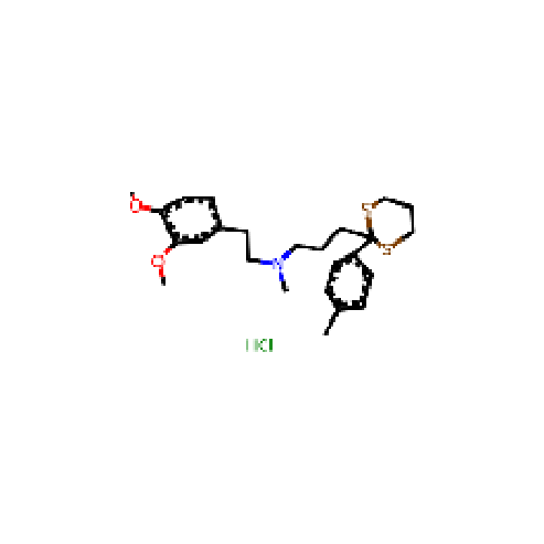 COc1ccc(CCN(C)CCCC2(c3ccc(C)cc3)SCCCS2)cc1OC.Cl